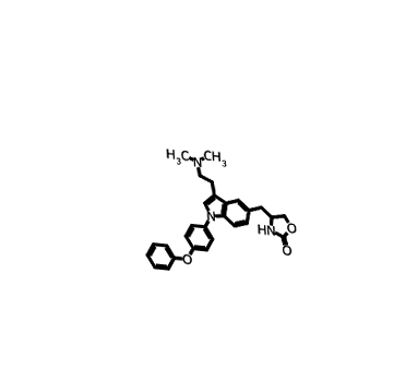 CN(C)CCc1cn(-c2ccc(Oc3ccccc3)cc2)c2ccc(CC3COC(=O)N3)cc12